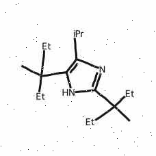 CCC(C)(CC)c1nc(C(C)C)c(C(C)(CC)CC)[nH]1